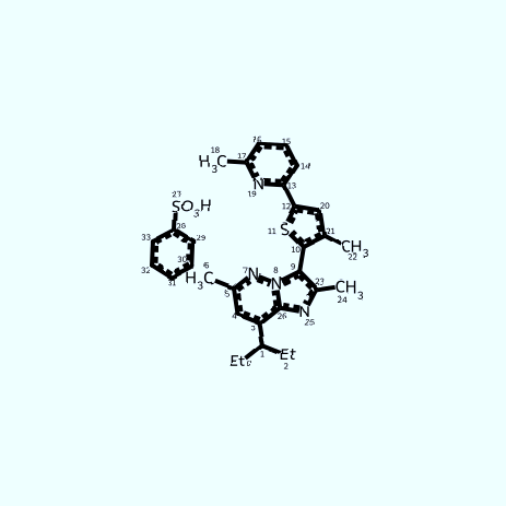 CCC(CC)c1cc(C)nn2c(-c3sc(-c4cccc(C)n4)cc3C)c(C)nc12.O=S(=O)(O)c1ccccc1